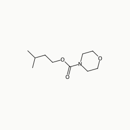 CC(C)CCOC(=O)N1CCOCC1